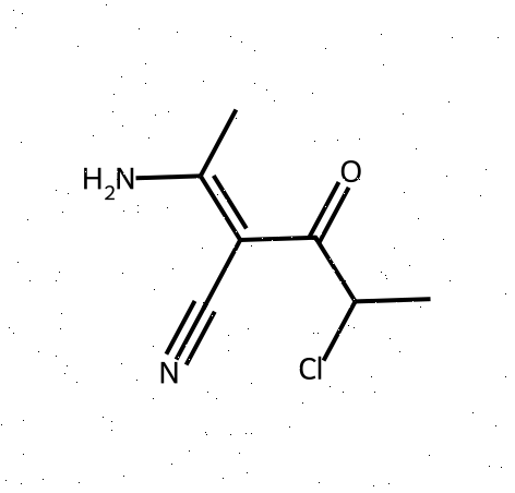 C/C(N)=C(/C#N)C(=O)C(C)Cl